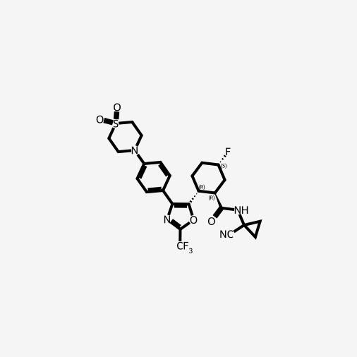 N#CC1(NC(=O)[C@@H]2C[C@@H](F)CC[C@H]2c2oc(C(F)(F)F)nc2-c2ccc(N3CCS(=O)(=O)CC3)cc2)CC1